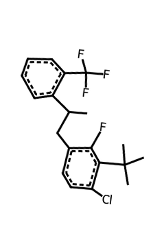 CC(Cc1ccc(Cl)c(C(C)(C)C)c1F)c1ccccc1C(F)(F)F